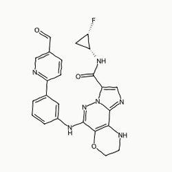 O=Cc1ccc(-c2cccc(Nc3nn4c(C(=O)N[C@@H]5C[C@@H]5F)cnc4c4c3OCCN4)c2)nc1